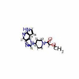 COCC(=O)N1CCC(n2cnc3cnc4[nH]ccc4c32)CC1